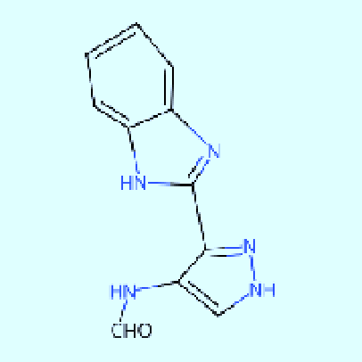 O=CNc1c[nH]nc1-c1nc2ccccc2[nH]1